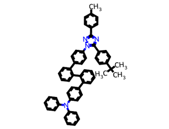 Cc1ccc(-c2nc(-c3ccc(C(C)(C)C)cc3)n(-c3ccc(-c4ccccc4-c4ccccc4-c4ccc(N(c5ccccc5)c5ccccc5)cc4)cc3)n2)cc1